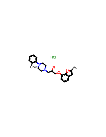 COc1ccccc1N1CCN(CC(O)COc2cccc3cc(C(C)=O)oc23)CC1.Cl